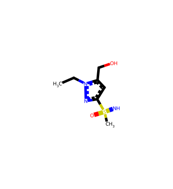 CCn1nc(S(C)(=N)=O)cc1CO